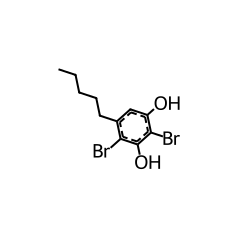 CCCCCc1cc(O)c(Br)c(O)c1Br